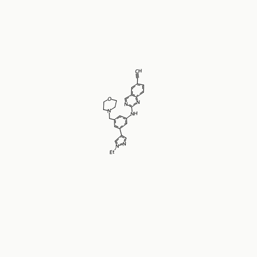 C#Cc1ccc2nc(Nc3cc(CN4CCOCC4)cc(-c4cnn(CC)c4)c3)ncc2c1